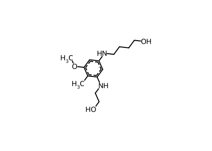 COc1cc(NCCCCO)cc(NCCO)c1C